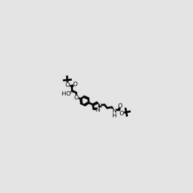 CC(C)(C)OC(=O)NCCCn1cc(-c2ccc(OC[C@H](O)C(=O)OC(C)(C)C)cc2)cn1